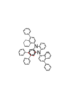 c1ccc2c(-c3ccccc3)ccc(N(c3ccc(-c4ccccc4)cc3)c3ccccc3N(c3ccc(-c4ccccc4)cc3)c3ccc(-c4ccccc4)c4c3C=CCC4)c2c#1